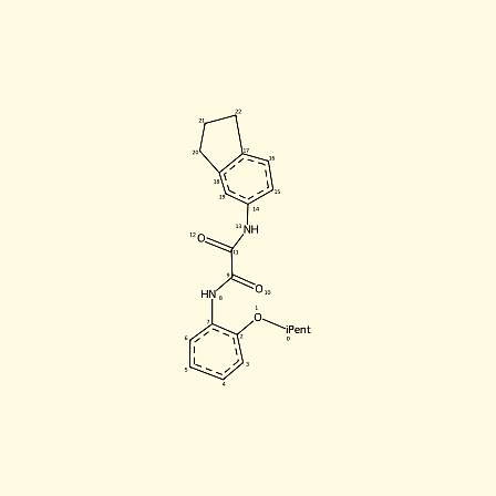 CCCC(C)Oc1ccccc1NC(=O)C(=O)Nc1ccc2c(c1)CCC2